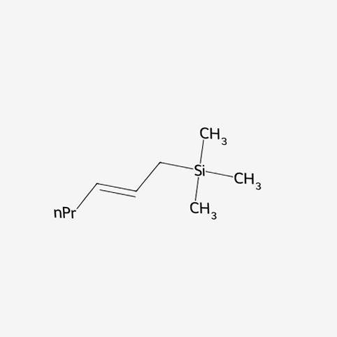 CCCC=CC[Si](C)(C)C